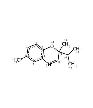 Cc1ccc2c(c1)N=CC(C)(C(C)C)O2